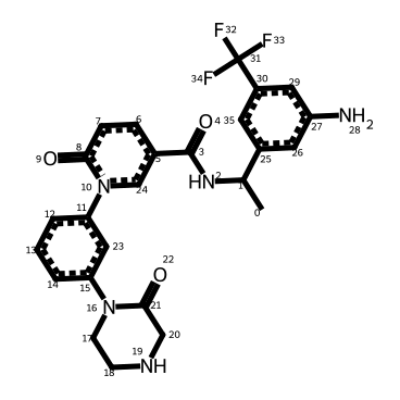 CC(NC(=O)c1ccc(=O)n(-c2cccc(N3CCNCC3=O)c2)c1)c1cc(N)cc(C(F)(F)F)c1